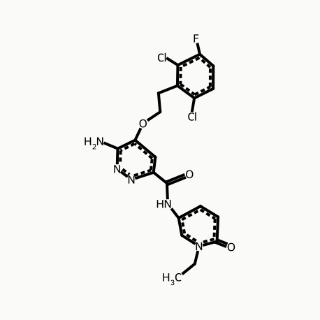 CCn1cc(NC(=O)c2cc(OCCc3c(Cl)ccc(F)c3Cl)c(N)nn2)ccc1=O